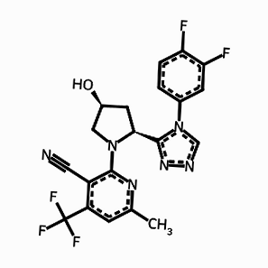 Cc1cc(C(F)(F)F)c(C#N)c(N2C[C@@H](O)C[C@H]2c2nncn2-c2ccc(F)c(F)c2)n1